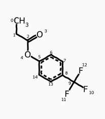 CCC(=O)Oc1ccc(C(F)(F)F)cc1